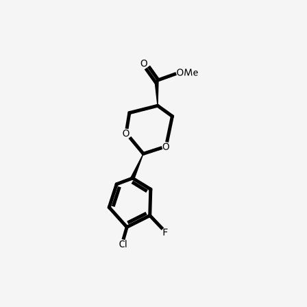 COC(=O)[C@H]1CO[C@@H](c2ccc(Cl)c(F)c2)OC1